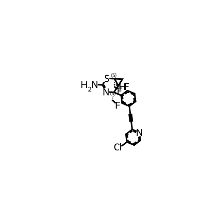 NC1=N[C@](CF)(c2cc(C#Cc3cc(Cl)ccn3)ccc2F)[C@@H]2C[C@]2(CF)S1